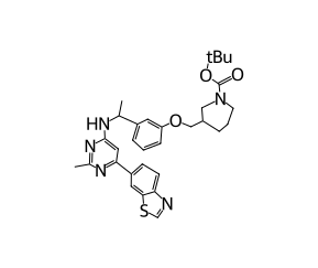 Cc1nc(NC(C)c2cccc(OCC3CCCN(C(=O)OC(C)(C)C)C3)c2)cc(-c2ccc3ncsc3c2)n1